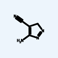 N#CC1=C(N)N=NC1